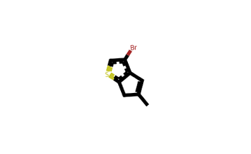 CC1=Cc2c(Br)csc2C1